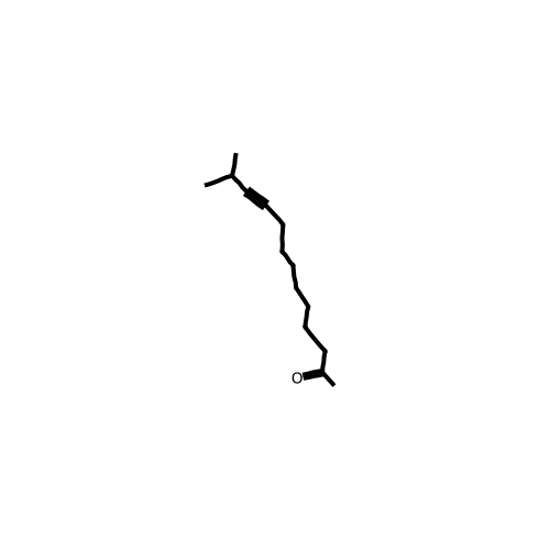 CC(=O)CCCCCCCC#CC(C)C